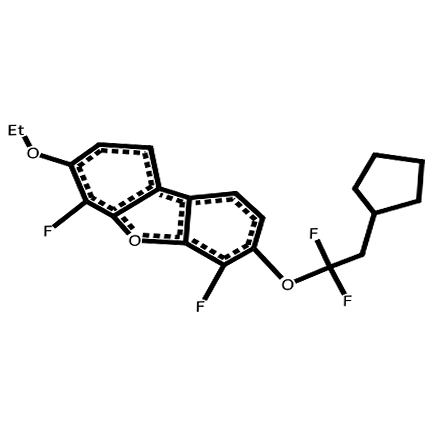 CCOc1ccc2c(oc3c(F)c(OC(F)(F)CC4CCCC4)ccc32)c1F